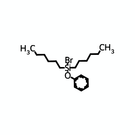 CCCCCC[Si](Br)(CCCCCC)Oc1ccccc1